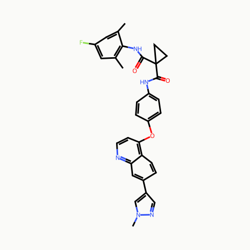 Cc1cc(F)cc(C)c1NC(=O)C1(C(=O)Nc2ccc(Oc3ccnc4cc(-c5cnn(C)c5)ccc34)cc2)CC1